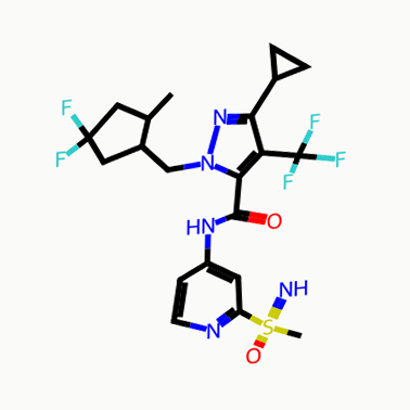 CC1CC(F)(F)CC1Cn1nc(C2CC2)c(C(F)(F)F)c1C(=O)Nc1ccnc(S(C)(=N)=O)c1